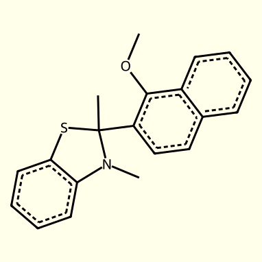 COc1c(C2(C)Sc3ccccc3N2C)ccc2ccccc12